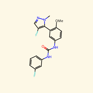 COc1ccc(NC(=O)Nc2cccc(F)c2)cc1-c1c(F)cnn1C